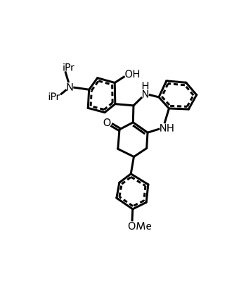 COc1ccc(C2CC(=O)C3=C(C2)Nc2ccccc2NC3c2ccc(N(C(C)C)C(C)C)cc2O)cc1